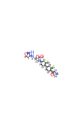 O=C1O[C@@H](CNc2ccon2)CN1c1ccc(-c2ccc(-c3cnco3)c(F)c2)c(F)c1